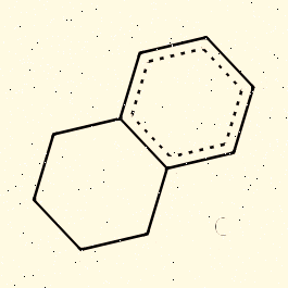 [C].c1ccc2c(c1)CCCC2